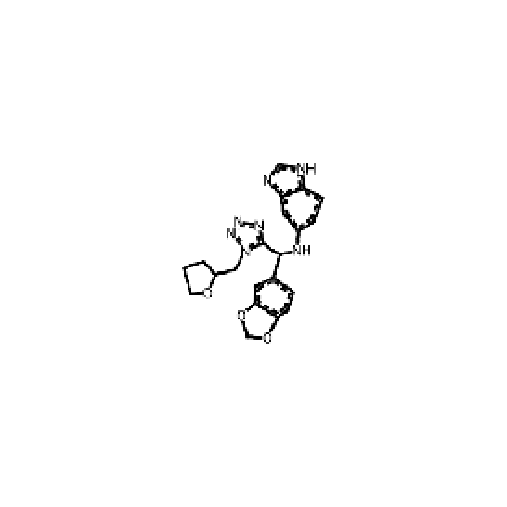 c1nc2cc(NC(c3ccc4c(c3)OCO4)c3nnnn3CC3CCCO3)ccc2[nH]1